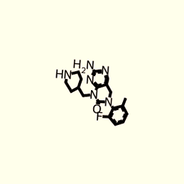 Cc1cccc(F)c1N1Cc2cnc(N)nc2N(CC2CCNCC2)C1=O